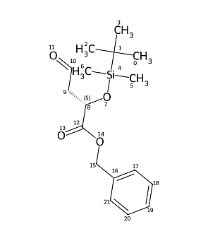 CC(C)(C)[Si](C)(C)O[C@@H](CC=O)C(=O)OCc1ccccc1